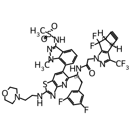 Cn1nc(NS(C)(=O)=O)c2cccc(-c3cc4sc(NCCN5CCOCC5)nc4nc3[C@H](Cc3cc(F)cc(F)c3)NC(=O)Cn3nc(C(F)(F)F)c4c3C(F)(F)[C@@H]3C#C[C@H]43)c21